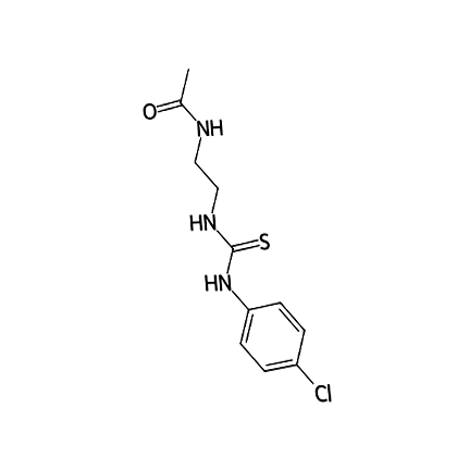 CC(=O)NCCNC(=S)Nc1ccc(Cl)cc1